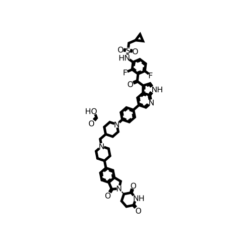 O=C1CC[C@H](N2Cc3cc(C4CCN(CC5CCN(c6ccc(-c7cnc8[nH]cc(C(=O)c9c(F)ccc(NS(=O)(=O)CC%10CC%10)c9F)c8c7)cc6)CC5)CC4)ccc3C2=O)C(=O)N1.O=CO